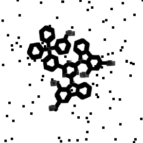 CC(C)(C)c1cccc([Si](c2ccccc2)(c2ccccc2)c2cccc(-c3nc(-n4c5ccccc5c5cc(C(C)(C)C)cc(C(C)(C)C)c54)nc(-n4c5ccccc5c5cc(C(C)(C)C)cc(C(C)(C)C)c54)n3)c2)c1